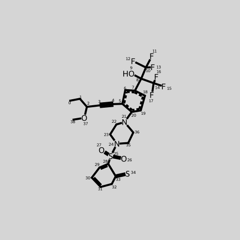 CCC(C#Cc1cc(C(O)(C(F)(F)F)C(F)(F)F)ccc1N1CCN(S(=O)(=O)C2=CC=CCC2=S)CC1)OC